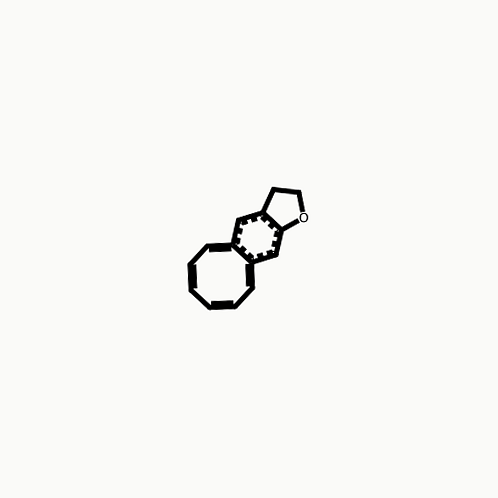 C1=C\C=c2\cc3c(c\c2=C\C=C/1)OCC3